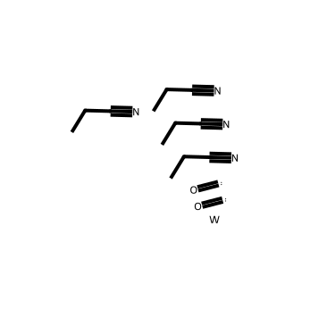 CCC#N.CCC#N.CCC#N.CCC#N.[C]=O.[C]=O.[W]